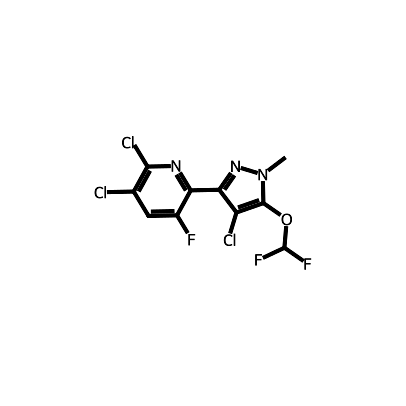 Cn1nc(-c2nc(Cl)c(Cl)cc2F)c(Cl)c1OC(F)F